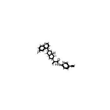 C#Cc1ccc(NC(=O)C(C)[C@H]2CC3CC(c4ccnc5ccc(F)cc45)C[C@@H]3C2)nc1